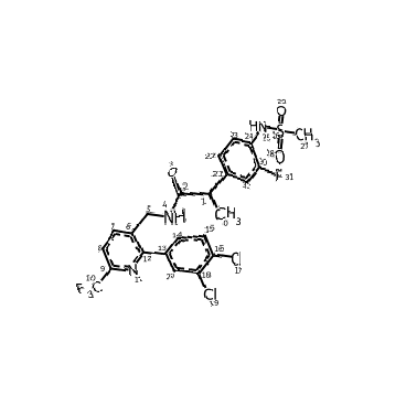 CC(C(=O)NCc1ccc(C(F)(F)F)nc1-c1ccc(Cl)c(Cl)c1)c1ccc(NS(C)(=O)=O)c(F)c1